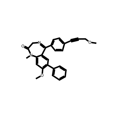 COCC#Cc1ccc(C2=NCC(=O)N(C)c3cc(OC)c(-c4ccccc4)cc32)cc1